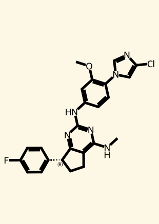 CNc1nc(Nc2ccc(-n3cnc(Cl)c3)c(OC)c2)nc2c1CC[C@@H]2c1ccc(F)cc1